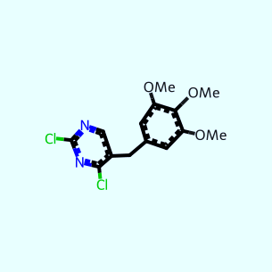 COc1cc(Cc2cnc(Cl)nc2Cl)cc(OC)c1OC